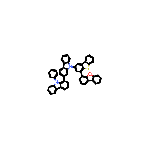 c1ccc(-n2c3ccccc3c3cccc(-c4ccc5c6ccccc6n(-c6cc(-c7cccc8c7oc7ccccc78)c7sc8ccccc8c7c6)c5c4)c32)cc1